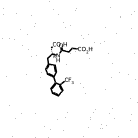 O=C(O)CCC(=O)N[C@@H](CC(=O)O)Cc1ccc(-c2ccccc2C(F)(F)F)cc1